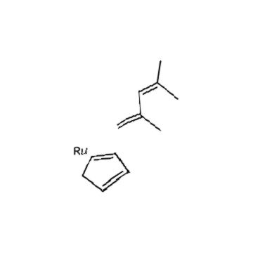 C1=CCC=C1.C=C(C)C=C(C)C.[Ru]